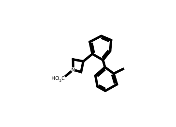 Cc1ccccc1-c1ccccc1C1CN(C(=O)O)C1